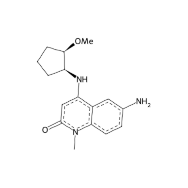 CO[C@@H]1CCC[C@@H]1Nc1cc(=O)n(C)c2ccc(N)cc12